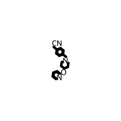 N#CCc1ccc(CN2CCC(Oc3ccccn3)CC2)cc1